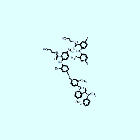 CCc1cc(I)ccc1Nc1ccc([N+](=O)[O-])cc1C(=O)NCCO.Cc1cc(I)ccc1Nc1ccc(I)cc1C(=O)NCCO.Cc1cc(I)ccc1Nc1ccc([N+](=O)[O-])cc1C(=O)N(C)c1ccccc1